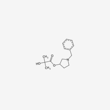 CC(C)(O)C(=O)OC1CCN(Cc2ccccc2)C1